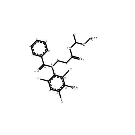 CCCCCCOC(C)OC(=O)CCN(C(=O)c1ccccc1)c1c(I)cc(I)c(N)c1I